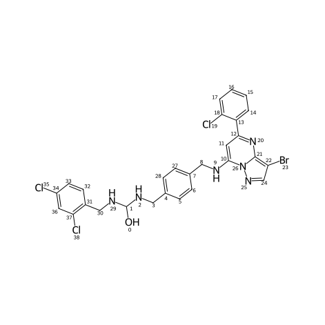 OC(NCc1ccc(CNc2cc(-c3ccccc3Cl)nc3c(Br)cnn23)cc1)NCc1ccc(Cl)cc1Cl